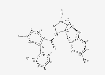 Cc1cnc(C(=O)N2C[C@H]3C[C@@H](Nc4ccc(C(F)(F)F)cn4)[C@@H]2C3)c(-c2ncccc2C)c1